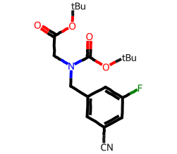 CC(C)(C)OC(=O)CN(Cc1cc(F)cc(C#N)c1)C(=O)OC(C)(C)C